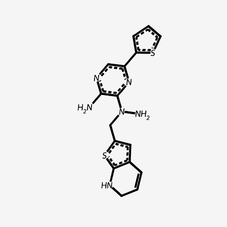 Nc1ncc(-c2cccs2)nc1N(N)Cc1cc2c(s1)NCC=C2